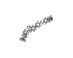 O=[N+]([O-])c1cn2c(n1)OC(COc1ccc(N3CCC(CCc4ccc(OC(F)(F)F)cc4)CC3)cc1Cl)CC2